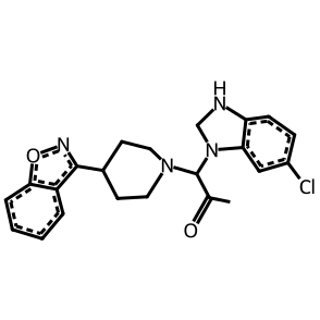 CC(=O)C(N1CCC(c2noc3ccccc23)CC1)N1CNc2ccc(Cl)cc21